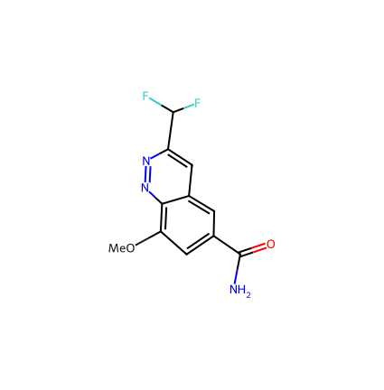 COc1cc(C(N)=O)cc2cc(C(F)F)nnc12